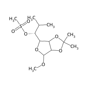 COC1OC([C@H](OS(C)(=O)=O)C(C)C)C2OC(C)(C)OC12